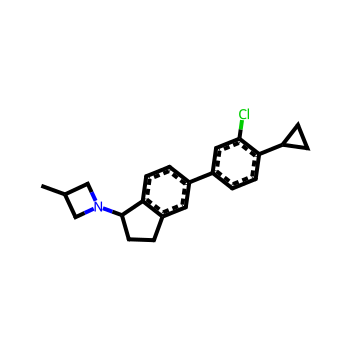 CC1CN(C2CCc3cc(-c4ccc(C5CC5)c(Cl)c4)ccc32)C1